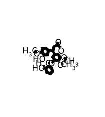 COc1ccc(C2=CC(=O)COc3c2cc(OC)c(OC)c3OC)cc1O.Oc1ccccc1